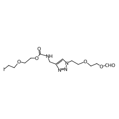 O=COCCOCCn1cc(CNC(=O)OCCOCCI)nn1